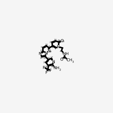 CC(=O)NCCn1cc(-c2ccc3ncc(-c4cnc(N)c(C(F)(F)F)c4)n3n2)ccc1=O